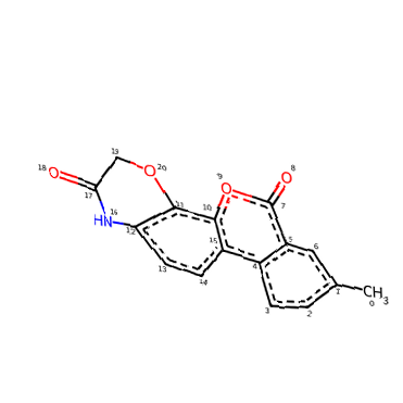 Cc1ccc2c(c1)c(=O)oc1c3c(ccc12)NC(=O)CO3